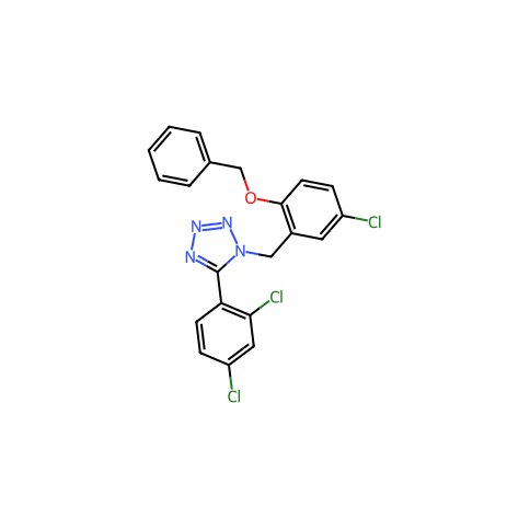 Clc1ccc(-c2nnnn2Cc2cc(Cl)ccc2OCc2ccccc2)c(Cl)c1